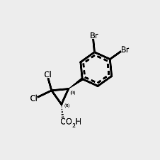 O=C(O)[C@H]1[C@H](c2ccc(Br)c(Br)c2)C1(Cl)Cl